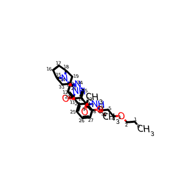 CCCOCCCNC(=O)c1ccc(N2C3CCC2CC(NC(=O)c2cccc(OC)c2C)C3)nc1